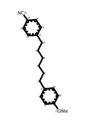 COc1ccc(CCCCCCc2ccc(C#N)cc2)cc1